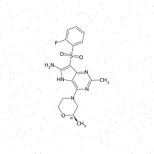 Cc1nc(N2CCO[C@H](C)C2)c2[nH]c(N)c(S(=O)(=O)c3ccccc3F)c2n1